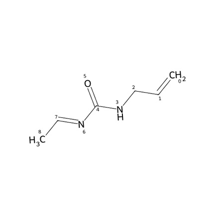 C=CCNC(=O)N=CC